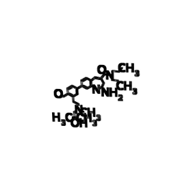 CCCN(CCC)C(=O)C1=Cc2ccc(-c3ccc(C=O)c(CCN(C)CC(C)(C)O)c3)cc2N=C(N)C1